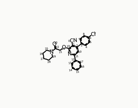 N#Cc1c(-c2ccc(Cl)cc2)cc(-c2ccccc2)nc1OCC(=O)N1CCCCC1